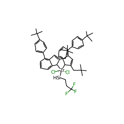 C[SiH](CCC(F)(F)F)[Zr]([Cl])([Cl])([CH]1C(CC(C)(C)C)=Cc2c(-c3ccc(C(C)(C)C)cc3)cccc21)[CH]1C(CC(C)(C)C)=Cc2c(-c3ccc(C(C)(C)C)cc3)cccc21